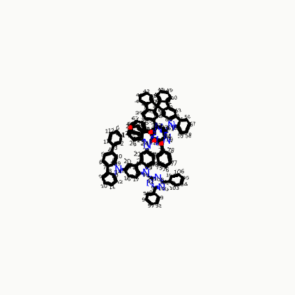 c1ccc(-c2ccc3c4ccccc4n(-c4ccc5c(c4)c4cc(-n6c7ccccc7c7c(-c8ccc9c(c8)C8(c%10ccccc%10-9)c9ccccc9-c9cc%10c%11ccccc%11n(-c%11nc(-c%12ccccc%12)nc(-c%12ccccc%12)n%11)c%10cc98)cccc76)ccc4n5-c4nc(-c5ccccc5)nc(-c5ccccc5)n4)c3c2)cc1